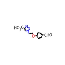 O=Cc1ccc(OCCn2cc(C(=O)O)nn2)cc1